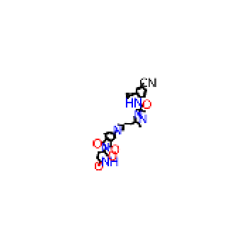 Cc1nn(C(C)(C)C(=O)Nc2ccc(C#N)cc2C2CC2)cc1CCC1CN(c2ccc3c(c2)C(=O)N(C2CCC(=O)NC2=O)C3=O)C1